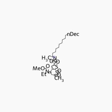 CCCCCCCCCCCCCCCCCCC/C(C)=N/S(=O)(=O)c1cc2c(s1)S(=O)(=O)[C@@H](C)C[C@@H]2N(CC)C(=O)OC